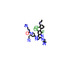 C=C/C=C\c1cccc(-c2c(Cl)cc3c(nc(N4CC(C)(N(C)C)C4)c4cnn([C@H]5CCN(C(=O)/C=C/CN(C)C)[C@H](CC#N)C5)c43)c2F)c1Cl